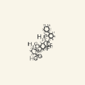 COc1cc(CCc2cccc(-c3ccccc3)c2C)c(C(F)(F)F)cc1CN1CCCC[C@@H]1C(=O)O